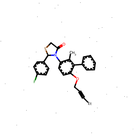 CCC#CCOc1ccc(N2C(=O)CSC2c2ccc(F)cc2)c(C)c1-c1ccccc1